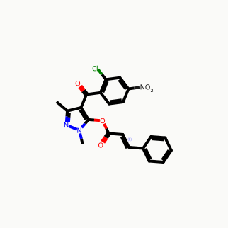 Cc1nn(C)c(OC(=O)/C=C/c2ccccc2)c1C(=O)c1ccc([N+](=O)[O-])cc1Cl